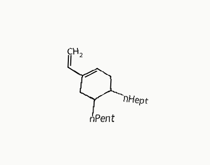 C=CC1=CCC(CCCCCCC)C(CCCCC)C1